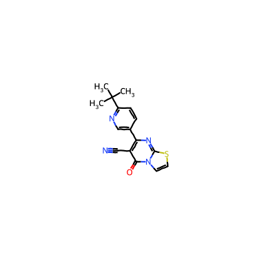 CC(C)(C)c1ccc(-c2nc3sccn3c(=O)c2C#N)cn1